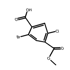 COC(=O)c1cc(Br)c(C(=O)O)cc1Cl